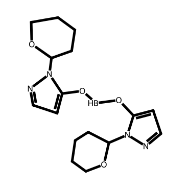 B(Oc1ccnn1C1CCCCO1)Oc1ccnn1C1CCCCO1